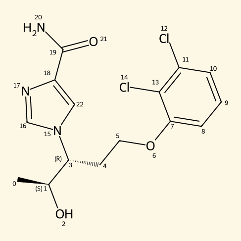 C[C@H](O)[C@@H](CCOc1cccc(Cl)c1Cl)n1cnc(C(N)=O)c1